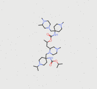 CC(C)OC(=O)NC1(CN2CCN(C)CC2CC(C)OC(=O)NC2(CN3CCN(C)C(C)C3)CCN(C)CC2)CCN(C(C)C)CC1